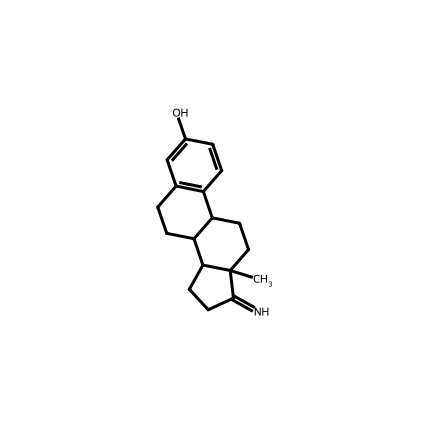 CC12CCC3c4ccc(O)cc4CCC3C1CCC2=N